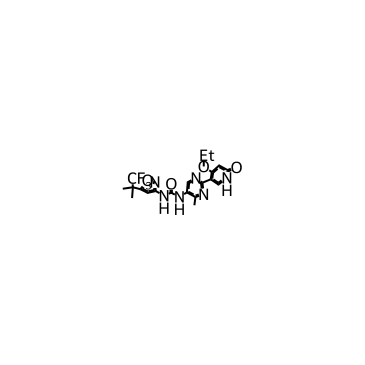 CCOc1cc(=O)[nH]cc1-c1ncc(NC(=O)Nc2cc(C(C)(C)C(F)(F)F)on2)c(C)n1